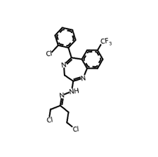 FC(F)(F)c1ccc2c(c1)C(c1ccccc1Cl)=NCC(NN=C(CCl)CCCl)=N2